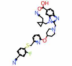 N#CCC1(Cn2c(CN3CCC(Oc4cccc(CSc5ccc(C#N)cc5F)n4)CC3)nc3ccc(C(=O)O)cc32)CC1